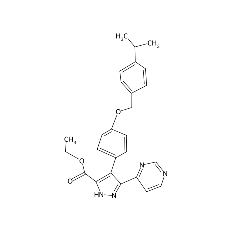 CCOC(=O)c1[nH]nc(-c2ccncn2)c1-c1ccc(OCc2ccc(C(C)C)cc2)cc1